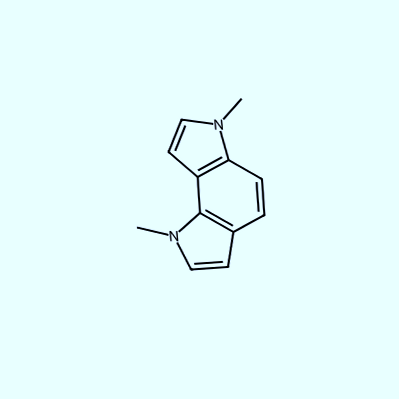 Cn1ccc2c1ccc1ccn(C)c12